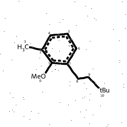 COc1c(C)cccc1CCC(C)(C)C